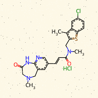 Cc1c(CN(C)C(=O)/C=C/c2cnc3c(c2)CN(C)CC(=O)N3)sc2ccc(Cl)cc12.Cl